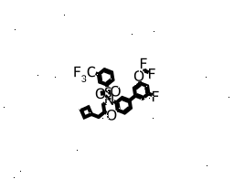 O=S(=O)(c1cccc(C(F)(F)F)c1)N1CC(CC2CCC2)Oc2ccc(-c3cc(F)cc(OC(F)F)c3)cc21